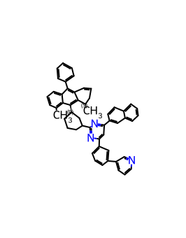 Cc1cccc2c(-c3ccccc3)c3c(c([C@@H]4CCCC(c5nc(-c6cccc(-c7cccnc7)c6)cc(-c6ccc7ccccc7c6)n5)C4)c12)[C@@H](C)CC=C3